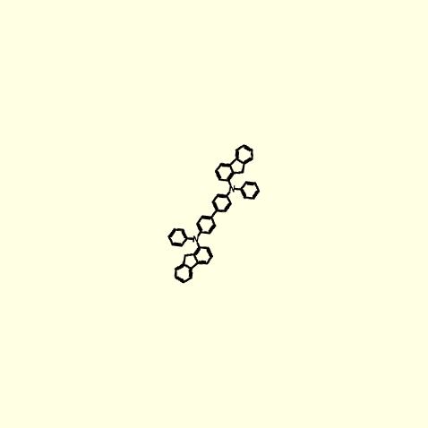 c1ccc(N(c2ccc(-c3ccc(N(c4ccccc4)c4cccc5c4Cc4ccccc4-5)cc3)cc2)c2cccc3c2Cc2ccccc2-3)cc1